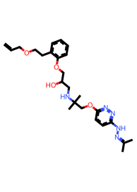 C=CCOCCc1ccccc1OCC(O)CNC(C)(C)COc1ccc(NN=C(C)C)nn1